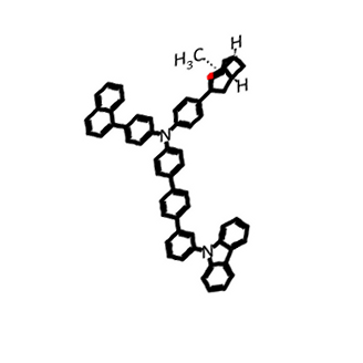 C[C@H]1C[C@H]2C[C@H]3CC(c4ccc(N(c5ccc(-c6ccc(-c7cccc(-n8c9ccccc9c9ccccc98)c7)cc6)cc5)c5ccc(-c6cccc7ccccc67)cc5)cc4)(CC23)C1